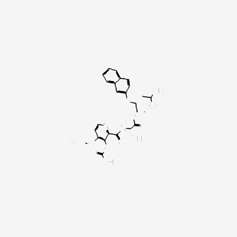 COc1ccnc(C(=O)N[C@@H](C)C(=O)O[C@@H](C)[C@@H](CC(C)C)Oc2ccc3ccccc3c2)c1OC(C)=O